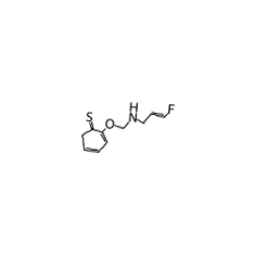 F/C=C/CNCOC1=CC=CCC1=S